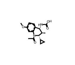 COc1ccc2c(c1)N(C(C)=O)[C@@H](C1CC1)[C@H](C)[C@H]2NC(=O)O